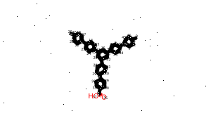 Cc1ccc(-c2ccc(-c3cc(-c4ccc(-c5ccc(C)cc5)cc4)cc(-c4ccc(-c5ccc(C(=O)O)cc5)cc4)c3)cc2)cc1